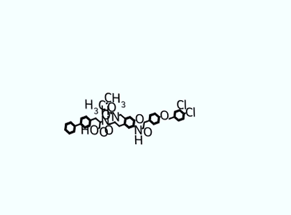 CC(C)OC(=O)N1Cc2cc3c(cc2CC1C(=O)NC(Cc1ccc(-c2ccccc2)cc1)C(=O)O)NC(=O)C(c1ccc(OCc2ccc(Cl)c(Cl)c2)cc1)O3